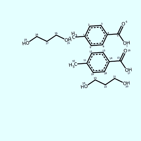 Cc1ccc(C(=O)O)cc1.Cc1ccc(C(=O)O)cc1.OCCCO.OCCCO